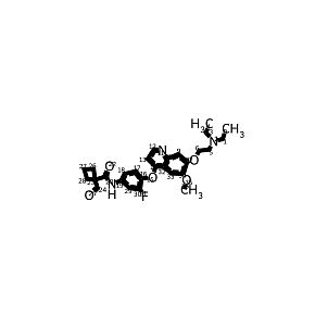 CCN(CC)CCOc1cc2nccc(Oc3ccc(NC(=O)C4(C=O)CCC4)cc3F)c2cc1OC